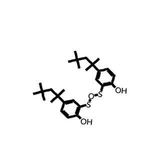 CC(C)(C)CC(C)(C)c1ccc(O)c(SOSc2cc(C(C)(C)CC(C)(C)C)ccc2O)c1